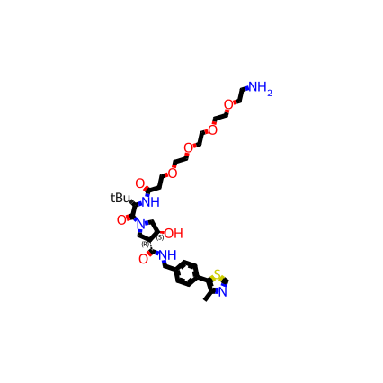 Cc1ncsc1-c1ccc(CNC(=O)[C@@H]2CN(C(=O)C(NC(=O)CCOCCOCCOCCOCCN)C(C)(C)C)C[C@H]2O)cc1